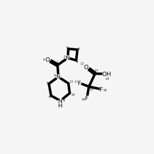 O=C(N1CCC1)N1CCNCC1.O=C(O)C(F)(F)F